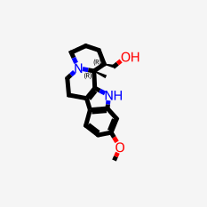 COc1ccc2c3c([nH]c2c1)[C@@]1(C)[C@H](CO)CCCN1CC3